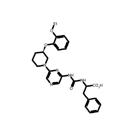 CCOc1ccccc1O[C@@H]1CCCN(c2cncc(NC(=O)NC(Cc3ccccc3)C(=O)O)n2)C1